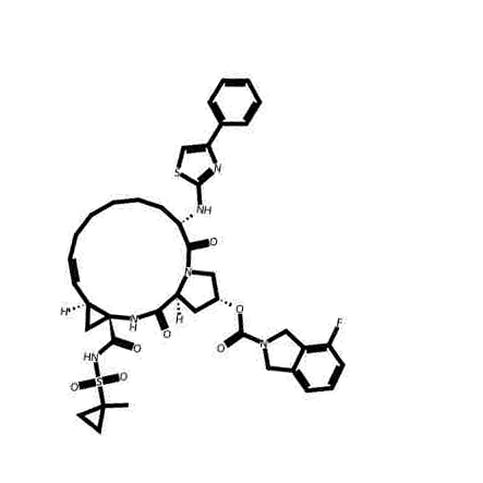 CC1(S(=O)(=O)NC(=O)[C@@]23C[C@H]2/C=C\CCCCC[C@H](Nc2nc(-c4ccccc4)cs2)C(=O)N2C[C@H](OC(=O)N4Cc5cccc(F)c5C4)C[C@H]2C(=O)N3)CC1